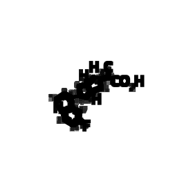 C[C@@H](C(=O)O)[C@H]1C[C@H]2C[C@@H](c3ccnc4ccc(F)cc34)C[C@H]2C1